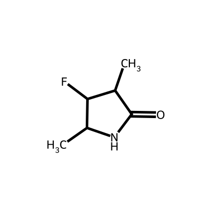 CC1NC(=O)C(C)C1F